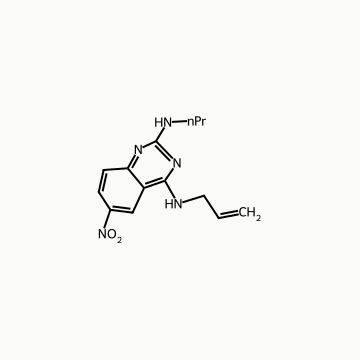 C=CCNc1nc(NCCC)nc2ccc([N+](=O)[O-])cc12